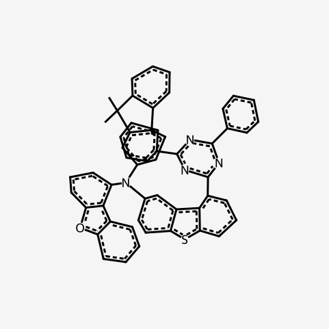 CC1(C)c2ccccc2-c2ccc(N(c3ccc4sc5cccc(-c6nc(-c7ccccc7)nc(-c7ccccc7)n6)c5c4c3)c3cccc4oc5ccccc5c34)cc21